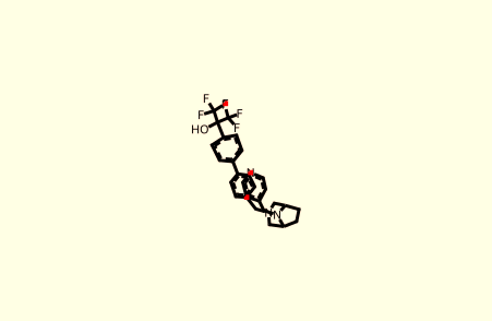 OC(c1ccc(-c2ccc(CN3CC4CCC(C3)N4Cc3ccncc3)cc2)cc1)(C(F)(F)F)C(F)(F)F